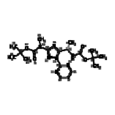 C[C@H](NC(=O)OC(C)(C)C)c1nc(N(C)C(=O)OC(C)(C)C)nn1-c1ncccn1